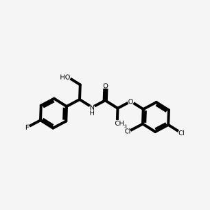 CC(Oc1ccc(Cl)cc1Cl)C(=O)NC(CO)c1ccc(F)cc1